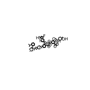 CC(C)c1ccccc1[C@@H]1CSCCN1C1CC2(CCN(c3ccc(C(=O)NS(=O)(=O)c4cc5c(c([N+](=O)[O-])c4)N[C@@H](C4CCC(C)(O)CC4)CO5)c(Oc4cnc5[nH]cc(F)c5c4)c3)CC2)C1